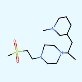 CC(CC1CCCN(C)C1)N1CCN(CCS(C)(=O)=O)CC1